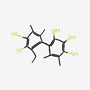 CCc1c(S)c(S)c(C)c(C)c1-c1c(C)c(C)c(S)c(S)c1S